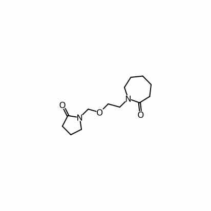 O=C1CCCCCN1CCOCN1CCCC1=O